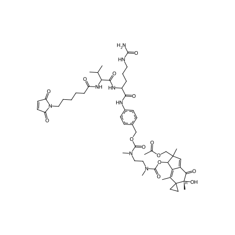 CC(=O)OCC1(C)C=C2C(=O)[C@](C)(O)C3(CC3)C(C)=C2C1OC(=O)N(C)CCN(C)C(=O)OCc1ccc(NC(=O)C(CCCNC(N)=O)NC(=O)C(NC(=O)CCCCCN2C(=O)C=CC2=O)C(C)C)cc1